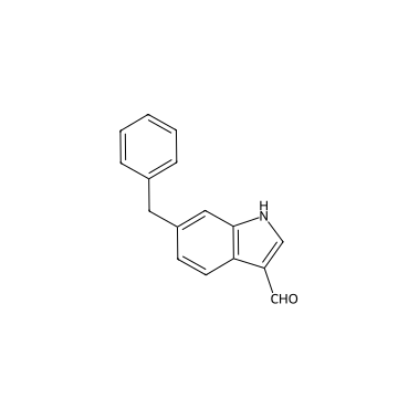 O=Cc1c[nH]c2cc(Cc3ccccc3)ccc12